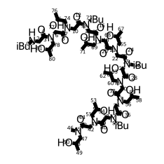 CCC(C)NCC(=O)N(CC(=O)N(CC(=O)N(CC(=O)N(CC(=O)N(CC(=O)N(CC(=O)N(CC(=O)N(CC(=O)N(CC(=O)N(CC(=O)N(C)CC(C)O)CC(C)O)C(C)CC)CC(C)O)CC(C)O)C(C)CC)CC(C)O)CC(C)O)C(C)CC)CC(C)O)CC(C)O